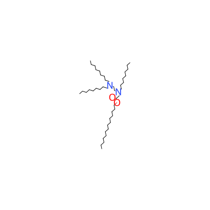 CCCCCCCCCCCCCCOC(=O)CN(CCCCCCCCC)CCN(CCCCCCCCC)CCCCCCCCC